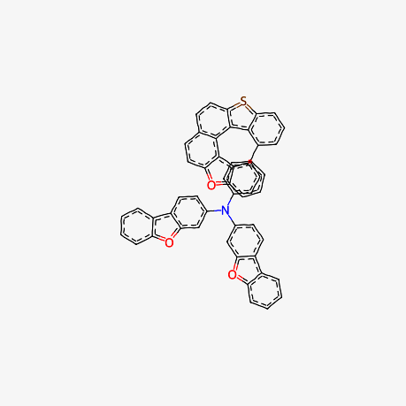 c1ccc2c(c1)oc1cc(N(c3ccc(-c4cccc5sc6ccc7ccc8oc9ccccc9c8c7c6c45)cc3)c3ccc4c(c3)oc3ccccc34)ccc12